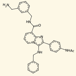 CC(=O)Nc1ccc(-c2nc3c(C(=O)NCc4cccc(CN)c4)cccn3c2NCc2ccccc2)cc1